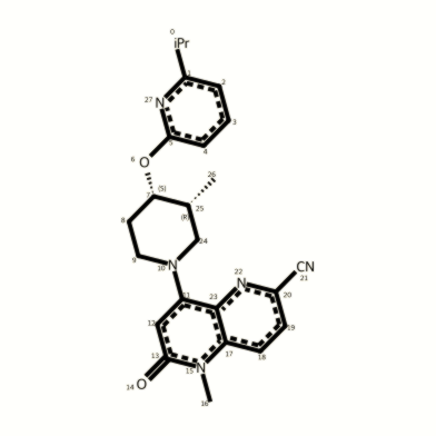 CC(C)c1cccc(O[C@H]2CCN(c3cc(=O)n(C)c4ccc(C#N)nc34)C[C@H]2C)n1